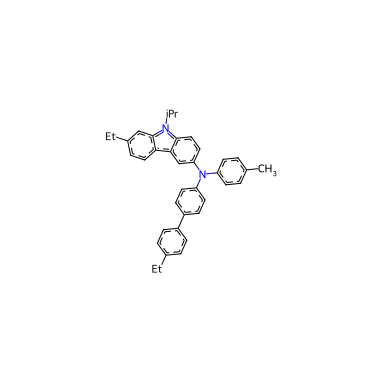 CCc1ccc(-c2ccc(N(c3ccc(C)cc3)c3ccc4c(c3)c3ccc(CC)cc3n4C(C)C)cc2)cc1